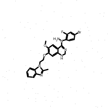 COc1cc2c(cc1OCCn1c(C)nc3ccccc31)NCN=C2N(N)c1ccc(Br)cc1F